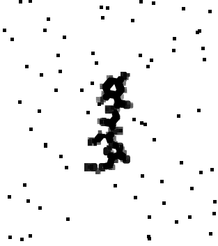 CC(C)C[C@H](NC(=O)CNC(=O)c1cc(Br)ccc1F)B1OC(=O)C(CC(=O)O)O1